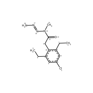 CCc1cc(Cl)cc(CC)c1CC(=O)N(C)N=NN